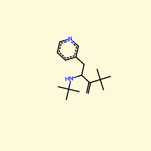 C=C(C(Cc1cccnc1)NC(C)(C)C)C(C)(C)C